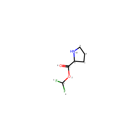 O=C(OC(F)F)C1CCCN1